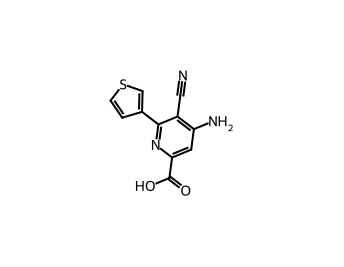 N#Cc1c(N)cc(C(=O)O)nc1-c1ccsc1